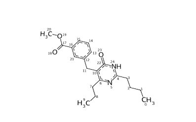 CCCCc1nc(CCC)c(Cc2cccc(C(=O)OC)c2)c(=O)[nH]1